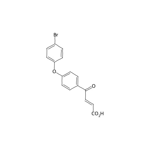 O=C(O)C=CC(=O)c1ccc(Oc2ccc(Br)cc2)cc1